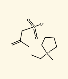 C=C(C)CS(=O)(=O)[O-].CC[N+]1(C)CCCC1